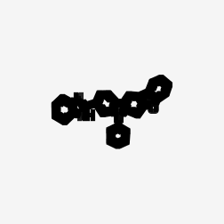 c1ccc(-n2c3cc(-c4nc5ccccc5[nH]4)ccc3c3cc4c(cc32)oc2ccccc24)cc1